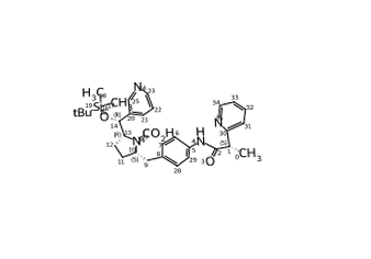 C[C@H](C(=O)Nc1ccc(C[C@@H]2CC[C@H]([C@H](O[Si](C)(C)C(C)(C)C)c3cccnc3)N2C(=O)O)cc1)c1ccccn1